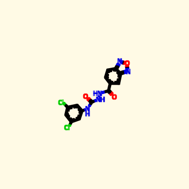 O=C(NNC(=O)c1ccc2nonc2c1)Nc1cc(Cl)cc(Cl)c1